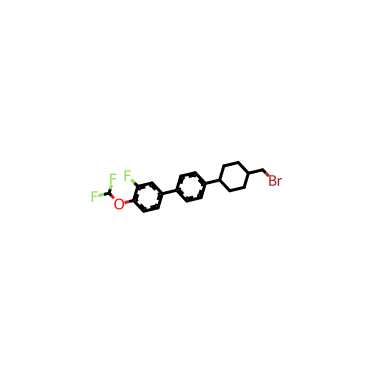 Fc1cc(-c2ccc(C3CCC(CBr)CC3)cc2)ccc1OC(F)F